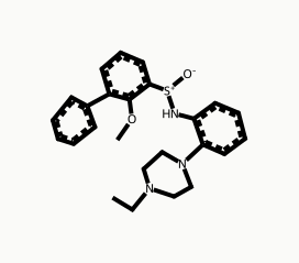 CCN1CCN(c2ccccc2N[S+]([O-])c2cccc(-c3ccccc3)c2OC)CC1